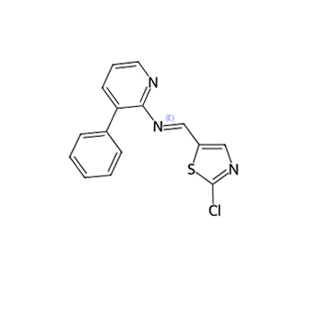 Clc1ncc(/C=N/c2ncccc2-c2ccccc2)s1